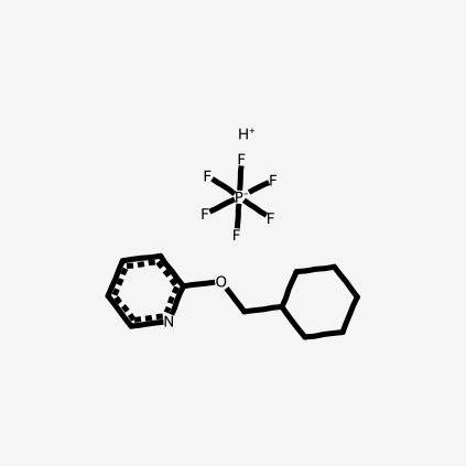 F[P-](F)(F)(F)(F)F.[H+].c1ccc(OCC2CCCCC2)nc1